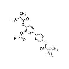 C=C(C)C(=O)Oc1ccc(-c2ccc(OC(=O)C(=C)C)c(OC(=O)CC)c2)cc1